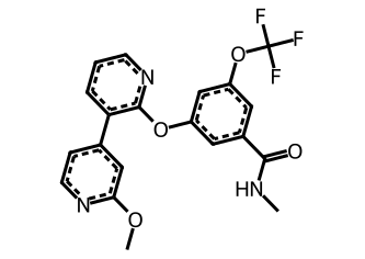 CNC(=O)c1cc(Oc2ncccc2-c2ccnc(OC)c2)cc(OC(F)(F)F)c1